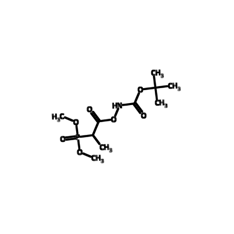 COP(=O)(OC)C(C)C(=O)ONC(=O)OC(C)(C)C